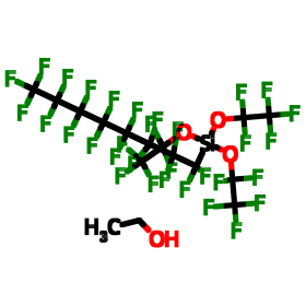 CCO.FC(F)(F)C(F)(F)O[Si](OC(F)(F)C(F)(F)F)(OC(F)(F)C(F)(F)F)C(F)(F)C(F)(F)C(F)(F)C(F)(F)C(F)(F)C(F)(F)C(F)(F)C(F)(F)F